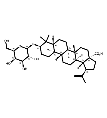 C=C(C)[C@@H]1CC[C@]2(C(=O)O)CC[C@]3(C)[C@H](CC[C@@H]4[C@@]5(C)CC[C@@H](O[C@@H]6O[C@H](CO)[C@H](O)[C@H](O)[C@H]6O)C(C)(C)[C@@H]5CC[C@]43C)[C@@H]12